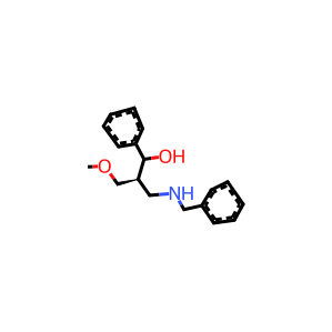 COC[C@H](CNCc1ccccc1)C(O)c1ccccc1